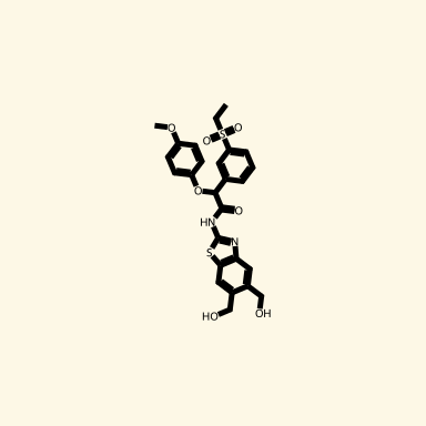 CCS(=O)(=O)c1cccc(C(Oc2ccc(OC)cc2)C(=O)Nc2nc3cc(CO)c(CO)cc3s2)c1